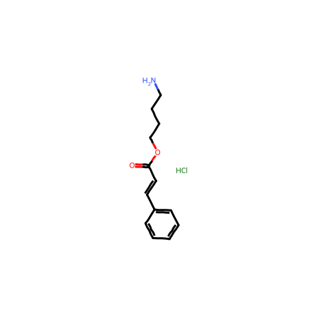 Cl.NCCCCOC(=O)C=Cc1ccccc1